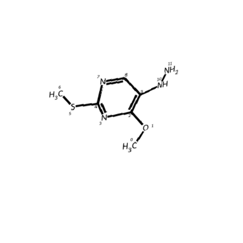 COc1nc(SC)ncc1NN